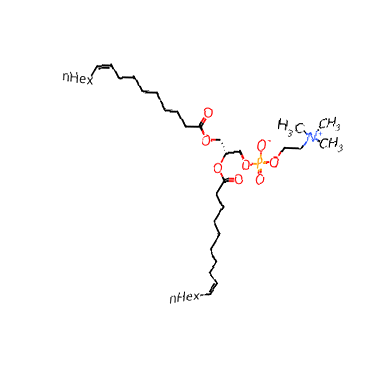 CCCCCC/C=C\CCCCCCCC(=O)OC[C@H](COP(=O)([O-])OCC[N+](C)(C)C)OC(=O)CCCCCCC/C=C\CCCCCC